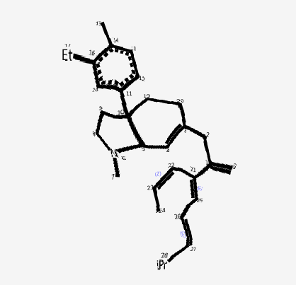 C=C(CC1=CC2N(C)CCC2(c2ccc(C)c(CC)c2)CC1)C(/C=C\C)=C/C=C/C(C)C